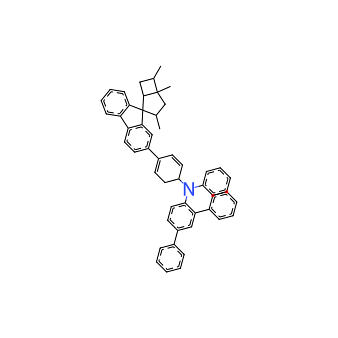 CC1CC2C1(C)CC(C)C21c2ccccc2-c2ccc(C3=CCC(N(c4ccccc4)c4ccc(-c5ccccc5)cc4-c4ccccc4)C=C3)cc21